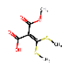 COC(=O)C(C(=O)O)=C(SC)SC